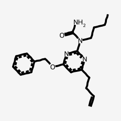 C=CCCc1cc(OCc2ccccc2)nc(N(CCCC)C(N)=O)n1